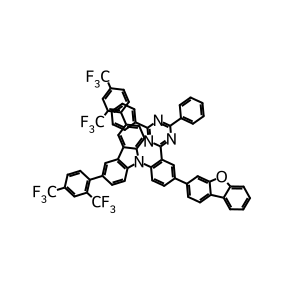 FC(F)(F)c1ccc(-c2ccc3c(c2)c2cc(-c4ccc(C(F)(F)F)cc4C(F)(F)F)ccc2n3-c2ccc(-c3ccc4c(c3)oc3ccccc34)cc2-c2nc(-c3ccccc3)nc(-c3ccccc3)n2)c(C(F)(F)F)c1